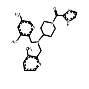 Cc1cnc(CN(Cc2ncccc2C)C2CCN(C(=O)c3ncc[nH]3)CC2)c(C)c1